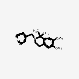 COc1cc2c(cc1OC)C(C)(C)N(Cc1ccccc1)CC2